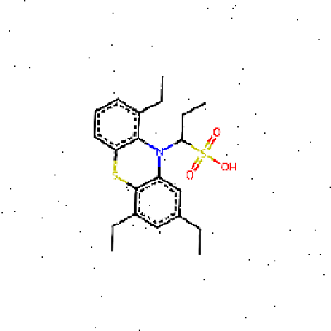 CCc1cc(CC)c2c(c1)N(C(CC)S(=O)(=O)O)c1c(CC)cccc1S2